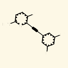 Nc1ccc(Br)c(C#Cc2cc(F)cc(F)c2)n1